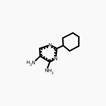 Nc1cnc(C2CCCCC2)nc1N